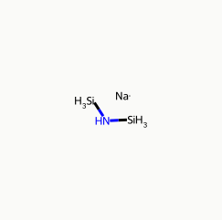 [Na].[SiH3]N[SiH3]